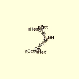 CCCCCCCCC(CCCCCC)OC(=O)CCOCCCN(CCO)CCCOCCC(=O)OC(CCCCCC)CCCCCCCC